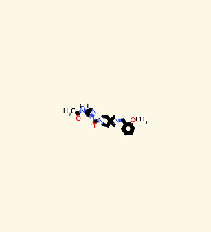 COc1ccccc1CN1CC2(CCN(C(=O)n3cc(N(C)C(C)=O)cn3)CC2)C1